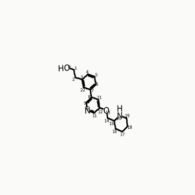 OCCc1cccc(-c2cncc(OCC3CCCCN3)c2)c1